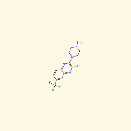 CN1CCN(c2nc3ccc(C(F)(F)F)cc3nc2Cl)CC1